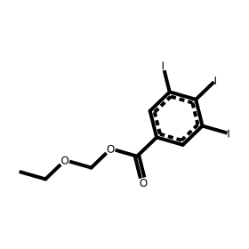 CCOCOC(=O)c1cc(I)c(I)c(I)c1